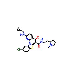 CN1CCCC1CCNC(=O)c1c(=O)c2ccc(NCC3CC3)nc2n2c1sc1ccc(Cl)cc12